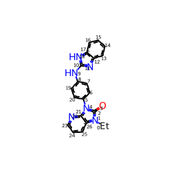 CCn1c(=O)n(-c2ccc(Nc3nc4ccccc4[nH]3)cc2)c2ncccc21